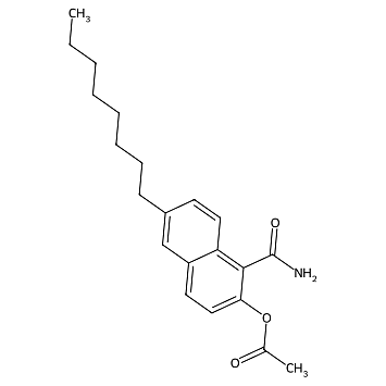 CCCCCCCCc1ccc2c(C(N)=O)c(OC(C)=O)ccc2c1